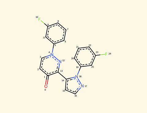 O=c1ccn(-c2cccc(F)c2)nc1-c1ccnn1-c1cccc(F)c1